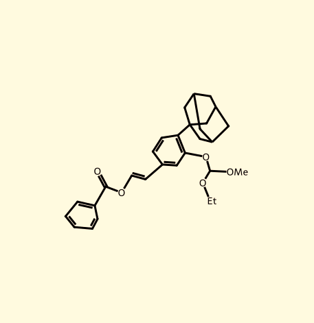 CCOC(OC)Oc1cc(C=COC(=O)c2ccccc2)ccc1C12CC3CC(CC(C3)C1)C2